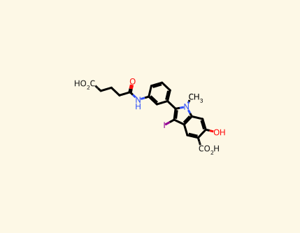 Cn1c(-c2cccc(NC(=O)CCCC(=O)O)c2)c(I)c2cc(C(=O)O)c(O)cc21